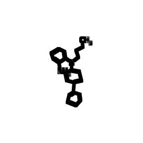 CCCCN(c1ccc(-c2ccccc2)cc1)c1ccccc1N